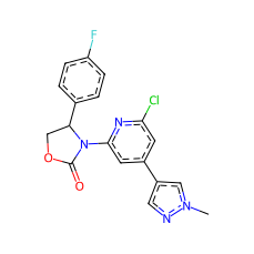 Cn1cc(-c2cc(Cl)nc(N3C(=O)OCC3c3ccc(F)cc3)c2)cn1